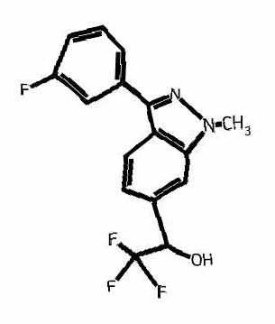 Cn1nc(-c2cccc(F)c2)c2ccc(C(O)C(F)(F)F)cc21